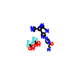 CN(C)CCC(=O)N1CCN(c2ccc(-c3cc(-c4cnn(C)c4)cn4ncc(C#N)c34)cn2)CC1.O=C(O)C(F)(F)F.O=C(O)C(F)(F)F